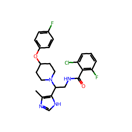 Cc1nc[nH]c1C(CNC(=O)c1c(F)cccc1Cl)N1CCC(Oc2ccc(F)cc2)CC1